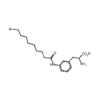 N[C@@H](Cc1cccc(NC(=O)CCCCCCCCBr)c1)C(=O)O